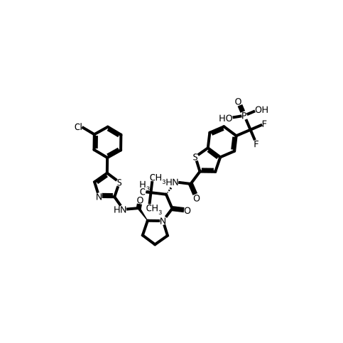 CC(C)(C)[C@H](NC(=O)c1cc2cc(C(F)(F)P(=O)(O)O)ccc2s1)C(=O)N1CCC[C@H]1C(=O)Nc1ncc(-c2cccc(Cl)c2)s1